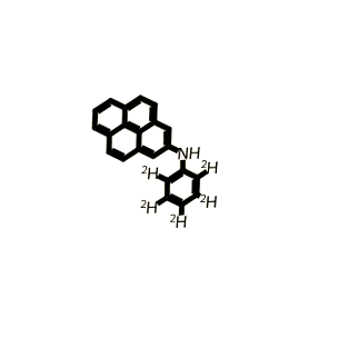 [2H]c1c([2H])c([2H])c(Nc2cc3ccc4cccc5ccc(c2)c3c45)c([2H])c1[2H]